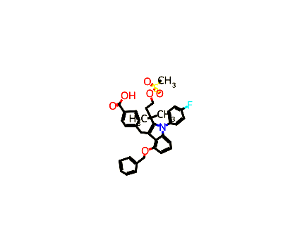 CC(C)(CCOS(C)(=O)=O)c1c(Cc2ccc(C(=O)O)cc2)c2c(OCc3ccccc3)cccc2n1-c1ccc(F)cc1